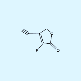 C#CC1=C(F)C(=O)OC1